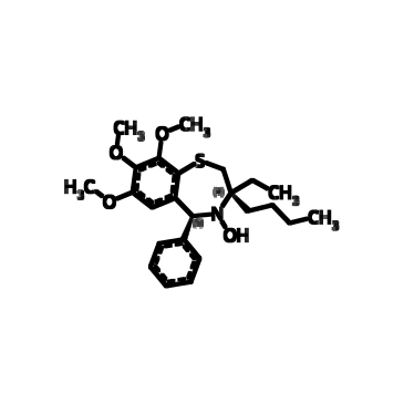 CCCC[C@]1(CC)CSc2c(cc(OC)c(OC)c2OC)[C@H](c2ccccc2)N1O